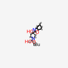 Cc1ccc2oc(C3(O)CCN(C(O)OC(C)(C)C)CC3)nc2c1